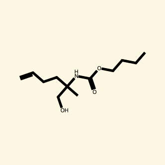 C=CCCC(C)(CO)NC(=O)OCCCC